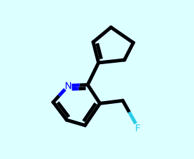 FCc1cccnc1C1=CCCC1